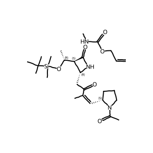 C=CCOC(=O)NC.CC(=O)N1CCC[C@H]1C=C(C)C(=O)C[C@H]1NC(=O)[C@@H]1[C@@H](C)O[Si](C)(C)C(C)(C)C